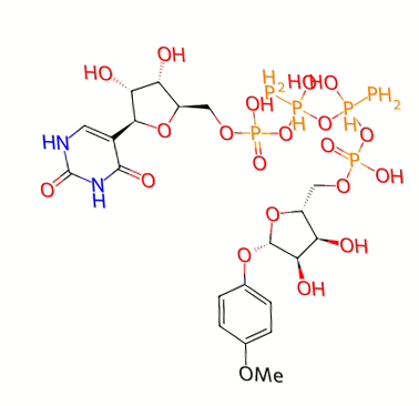 COc1ccc(O[C@@H]2O[C@H](COP(=O)(O)O[PH](O)(P)O[PH](O)(P)OP(=O)(O)OC[C@H]3O[C@@H](c4c[nH]c(=O)[nH]c4=O)[C@H](O)[C@@H]3O)[C@@H](O)[C@H]2O)cc1